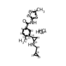 Cc1nnc(NC(=O)c2ccc(C)c(C3CC3NCC3CC3)c2)s1.Cl.Cl